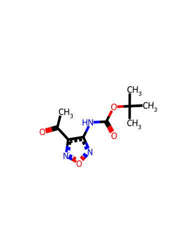 CC(=O)c1nonc1NC(=O)OC(C)(C)C